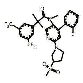 CN(C(=O)C(C)(C)c1cc(C(F)(F)F)cc(C(F)(F)F)c1)c1cnc(N2CCC(S(C)(=O)=O)C2)cc1-c1ccccc1Cl